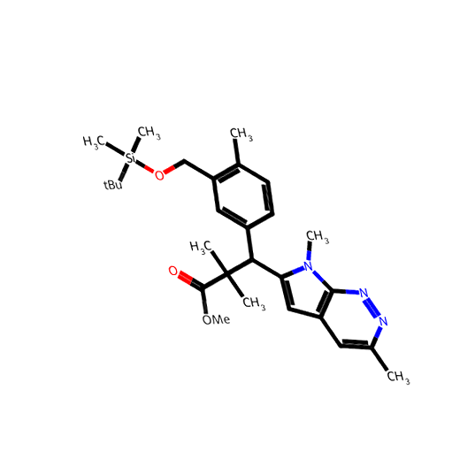 COC(=O)C(C)(C)C(c1ccc(C)c(CO[Si](C)(C)C(C)(C)C)c1)c1cc2cc(C)nnc2n1C